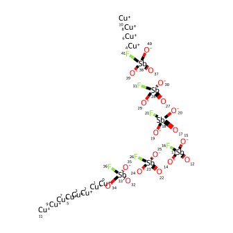 [Cu+].[Cu+].[Cu+].[Cu+].[Cu+].[Cu+].[Cu+].[Cu+].[Cu+].[Cu+].[Cu+].[Cu+].[O]=[Sb]([O-])([O-])[F].[O]=[Sb]([O-])([O-])[F].[O]=[Sb]([O-])([O-])[F].[O]=[Sb]([O-])([O-])[F].[O]=[Sb]([O-])([O-])[F].[O]=[Sb]([O-])([O-])[F]